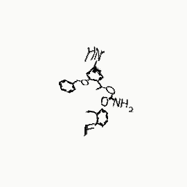 CNc1ccc(C(C)OC(N)=O)c(OCc2ccccc2)c1.Cc1ccccc1F